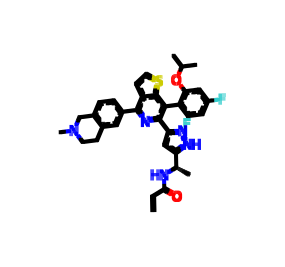 C=CC(=O)N[C@H](C)c1cc(-c2nc(-c3ccc4c(c3)CCN(C)C4)c3ccsc3c2-c2c(F)cc(F)cc2OC(C)C)n[nH]1